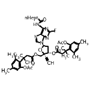 C#C[C@]1(COC(=O)CC(C)(C)c2c(C)cc(C)cc2OC(C)=O)O[C@@H](n2cnc3c(NC(=O)CCCCCCC)nc(F)nc32)C[C@@H]1OC(=O)CC(C)(C)c1c(C)cc(C)cc1OC(C)=O